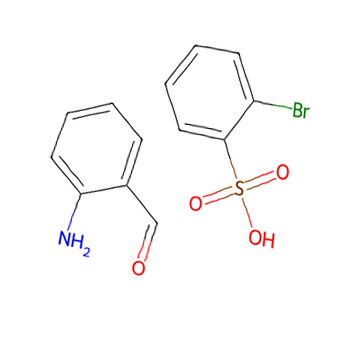 Nc1ccccc1C=O.O=S(=O)(O)c1ccccc1Br